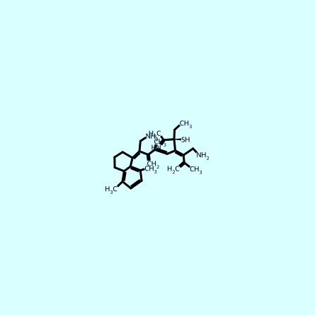 C=C(C)/C(CN)=C(\C=C(/C)C(=C)/C(CN)=C1/CCCc2c(C)ccc(C)c21)[C@@](S)(CC)C(C)=N